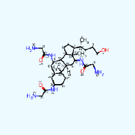 C[C@H](CCCO)C1CCC2C3[C@H](NC(=O)CN)CC4CC(NC(=O)CN)CCC4(C)[C@H]3CC(NC(=O)CN)C21C